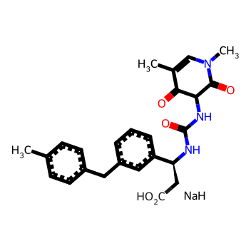 CC1=CN(C)C(=O)C(NC(=O)N[C@@H](CC(=O)O)c2cccc(Cc3ccc(C)cc3)c2)C1=O.[NaH]